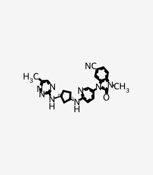 Cc1cnc(N[C@H]2CC[C@H](Nc3ccc(-n4c(=O)n(C)c5ccc(C#N)cc54)cn3)C2)nn1